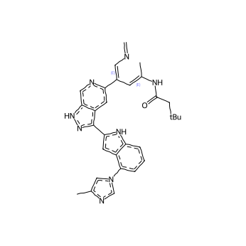 C=N/C=C(\C=C(/C)NC(=O)CC(C)(C)C)c1cc2c(-c3cc4c(-n5cnc(C)c5)cccc4[nH]3)n[nH]c2cn1